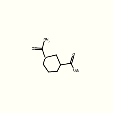 CC(C)COC(=O)C1CCCN(C(N)=O)C1